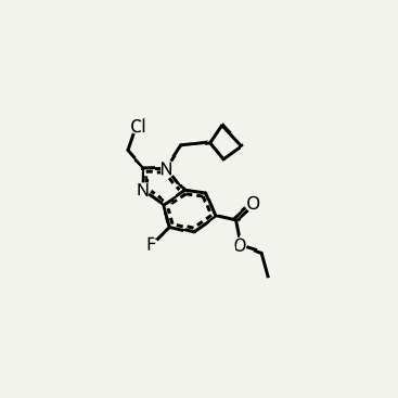 CCOC(=O)c1cc(F)c2nc(CCl)n(CC3CCC3)c2c1